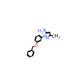 Cc1cc(N)n(-c2cccc(OCc3ccccc3)c2)n1